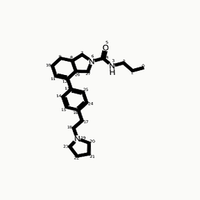 CCCNC(=O)N1CC2CCC=C(c3ccc(CCN4CCCC4)cc3)C2C1